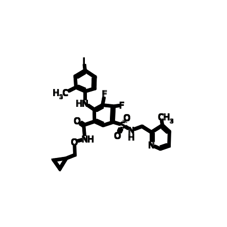 Cc1cc(I)ccc1Nc1c(C(=O)NOCC2CC2)cc(S(=O)(=O)NCc2ncccc2C)c(F)c1F